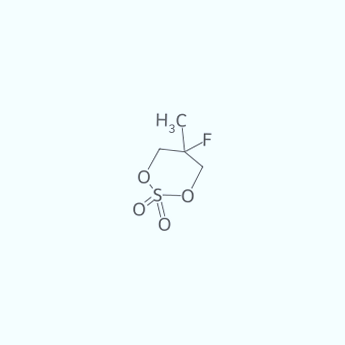 CC1(F)COS(=O)(=O)OC1